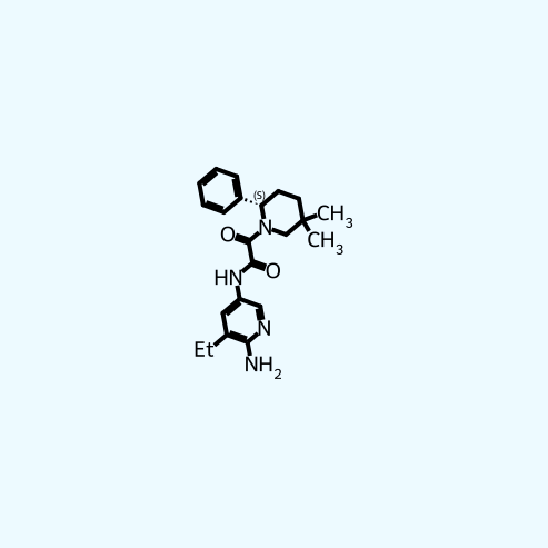 CCc1cc(NC(=O)C(=O)N2CC(C)(C)CC[C@H]2c2ccccc2)cnc1N